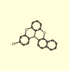 Clc1ccc2c(c1)Oc1cccc3c1B2c1ccc2ccccc2c1O3